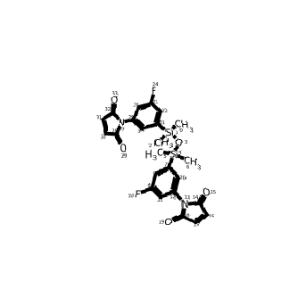 C[Si](C)(O[Si](C)(C)c1cc(F)cc(N2C(=O)C=CC2=O)c1)c1cc(F)cc(N2C(=O)C=CC2=O)c1